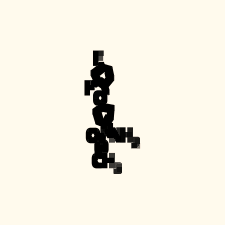 CCOC(=O)N(N)c1ccc(OCc2ccc(F)cc2F)cc1